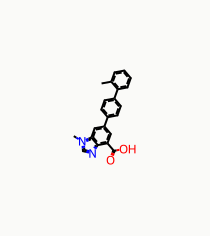 Cc1ccccc1-c1ccc(-c2cc(C(=O)O)c3ncn(C)c3c2)cc1